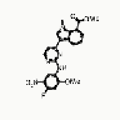 COC(=O)c1cccc2c(-c3ccnc(Nc4cc([N+](=O)[O-])c(F)cc4OC)n3)cn(C)c12